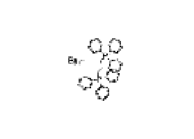 [Br-].[Br-].c1ccc([P+](CCC[P+](c2ccccc2)(c2ccccc2)c2ccccc2)(c2ccccc2)c2ccccc2)cc1